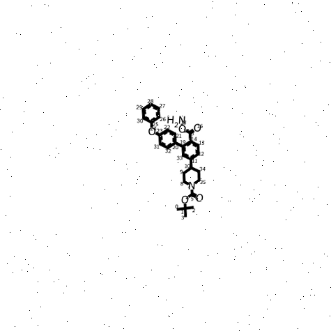 CC(C)(C)OC(=O)N1CCC(c2ccc(C(=O)ON)c(-c3ccc(Oc4ccccc4)cc3)c2)CC1